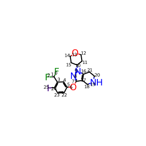 FC(F)c1cc(Oc2nn(C3CCOCC3)c3c2CNCC3)ccc1I